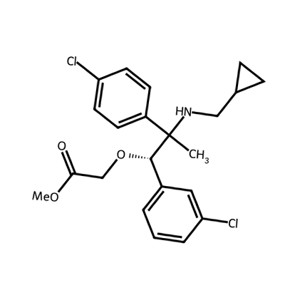 COC(=O)CO[C@@H](c1cccc(Cl)c1)C(C)(NCC1CC1)c1ccc(Cl)cc1